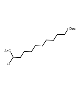 CCCCCCCCCCCCCCCCCCCC(CC)OC(C)=O